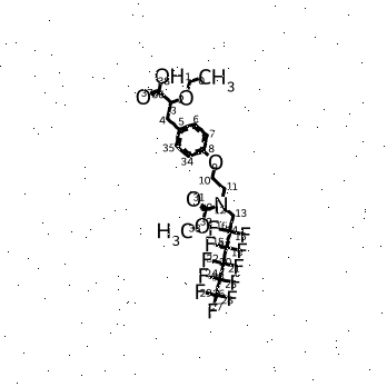 CCOC(Cc1ccc(OCCN(CC(F)(F)C(F)(F)C(F)(F)C(F)(F)C(F)(F)F)C(=O)OC)cc1)C(=O)O